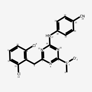 C[S+]([O-])c1nc(Cc2c(Cl)cccc2Cl)nc(Nc2ccc(C#N)cc2)n1